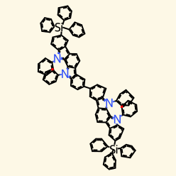 c1ccc(-n2c3ccc(-c4ccc5c(c4)c4ccc6c7cc([Si](c8ccccc8)(c8ccccc8)c8ccccc8)ccc7n(-c7ccccc7)c6c4n5-c4ccccc4)cc3c3ccc4c5cc([Si](c6ccccc6)(c6ccccc6)c6ccccc6)ccc5n(-c5ccccc5)c4c32)cc1